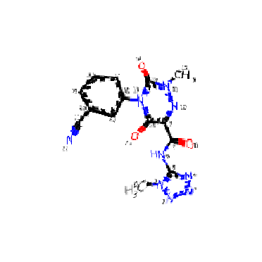 Cn1nnnc1NC(=O)c1nn(C)c(=O)n(-c2cccc(C#N)c2)c1=O